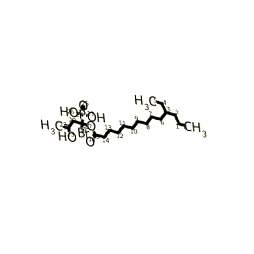 CCCC(CC)CCCCCCCCCC(=O)OC(Br)(C[C@H](C)O)P(=O)(O)O